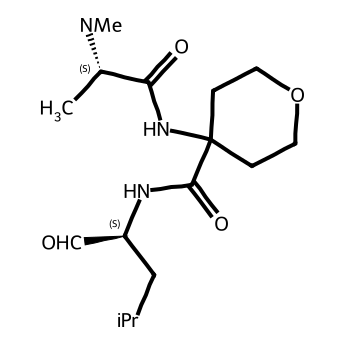 CN[C@@H](C)C(=O)NC1(C(=O)N[C@H](C=O)CC(C)C)CCOCC1